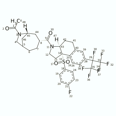 CC(=O)N1CC2CC[C@@H](C(=O)N3CC[C@]4(S(=O)(=O)c5ccc(F)cc5)c5ccc(C(F)(C(F)(F)F)C(F)(F)F)cc5CC[C@H]34)C[C@@H]1C2